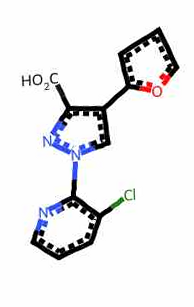 O=C(O)c1nn(-c2ncccc2Cl)cc1-c1ccco1